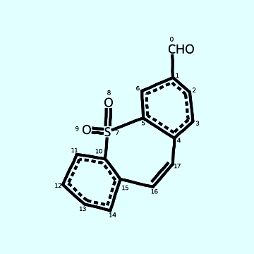 O=Cc1ccc2c(c1)S(=O)(=O)c1ccccc1C=C2